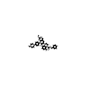 CSc1ncc2cc(N3CCN(C(=O)OCc4ccccc4)c4c(C)cccc43)c(=O)n(-c3ccc(N4CCN(C)CC4)cc3)c2n1